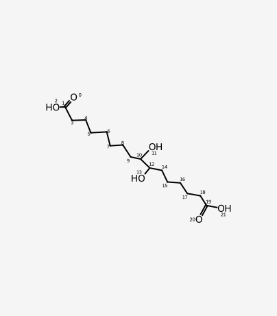 O=C(O)CCCCCCCC(O)C(O)CCCCCC(=O)O